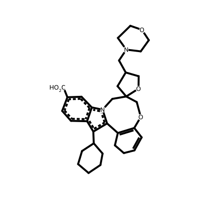 O=C(O)c1ccc2c(C3CCCCC3)c3n(c2c1)CC1(COC2=C3CCC=C2)CC(CN2CCOCC2)CO1